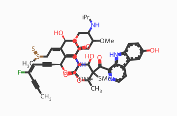 CC#C/C(F)=C\C#C[C@H](OC1OC(C)C(SC)(C(=O)c2nccc3c2[nH]c2ccc(O)cc23)C(O)C1OC1CC(OC)C(NC(C)C)CO1)C1=C(NC(=O)OC)C(=O)C[C@H](O)/C1=C/CS(C)=S